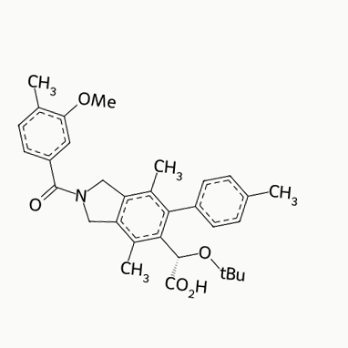 COc1cc(C(=O)N2Cc3c(C)c(-c4ccc(C)cc4)c([C@H](OC(C)(C)C)C(=O)O)c(C)c3C2)ccc1C